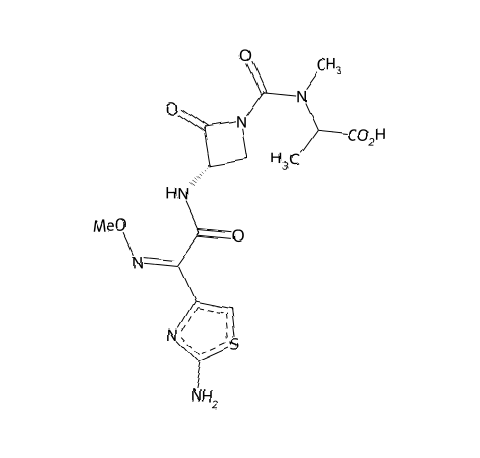 CON=C(C(=O)N[C@H]1CN(C(=O)N(C)C(C)C(=O)O)C1=O)c1csc(N)n1